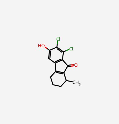 CC1CCCC2=C1C(=O)c1c2cc(O)c(Cl)c1Cl